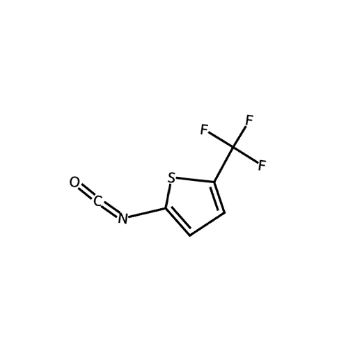 O=C=Nc1ccc(C(F)(F)F)s1